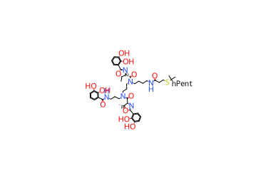 CCCCCC(C)(C)SCCC(=O)NCCCCN(CCCN(CCCNC(=O)c1cccc(O)c1O)C(=O)C1N=C(c2cccc(O)c2O)O[C@@H]1C)C(=O)[C@H]1N=C(c2cccc(O)c2O)OC1C